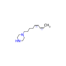 C/C=C\C=C/CCCCN1CCNCC1